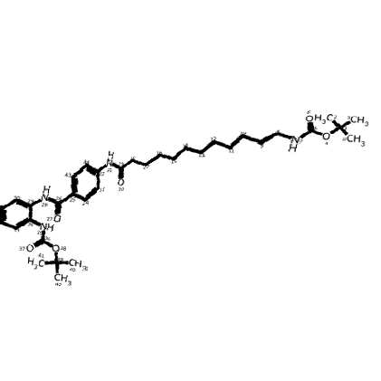 CC(C)(C)OC(=O)NCCCCCCCCCCCC(=O)Nc1ccc(C(=O)Nc2ccccc2NC(=O)OC(C)(C)C)cc1